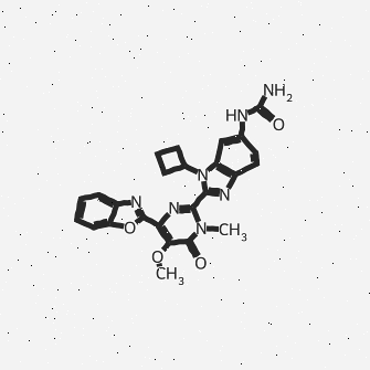 COc1c(-c2nc3ccccc3o2)nc(-c2nc3ccc(NC(N)=O)cc3n2C2CCC2)n(C)c1=O